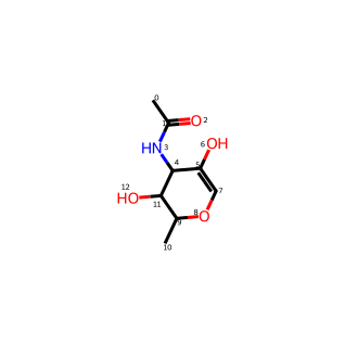 CC(=O)NC1C(O)=COC(C)C1O